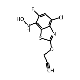 C#CCOc1nc2c(Cl)cc(F)c(NO)c2s1